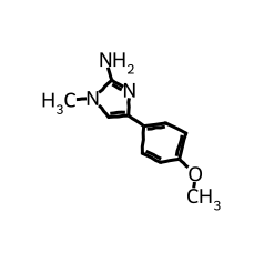 COc1ccc(-c2cn(C)c(N)n2)cc1